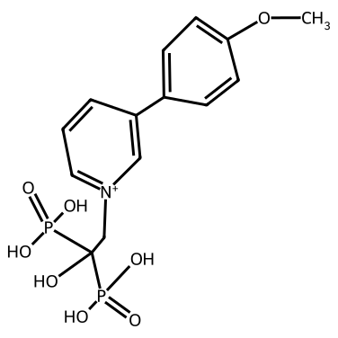 COc1ccc(-c2ccc[n+](CC(O)(P(=O)(O)O)P(=O)(O)O)c2)cc1